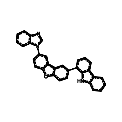 c1ccc2c(c1)ncn2-c1ccc2oc3ccc(-c4cccc5c4[nH]c4ccccc45)cc3c2c1